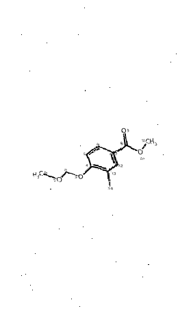 COCOc1ccc(C(=O)OC)cc1I